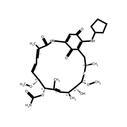 CO[C@H]1C[C@H](C)CC2=C(NC3CCCC3)C(=O)C=C(NC(=O)/C(C)=C\C=C\[C@@H](OC)[C@@H](OC(N)=O)/C(C)=C/[C@H](C)[C@H]1O)C2=O